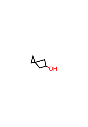 OC1CC2(CC2)C1